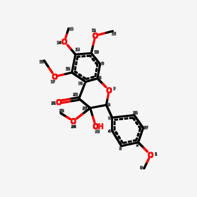 COc1ccc(C2Oc3cc(OC)c(OC)c(OC)c3C(=O)C2(O)OC)cc1